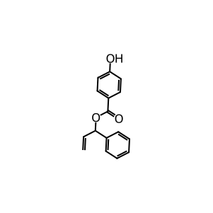 C=CC(OC(=O)c1ccc(O)cc1)c1ccccc1